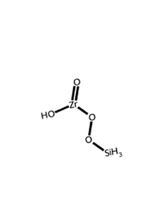 [O]=[Zr]([OH])[O]O[SiH3]